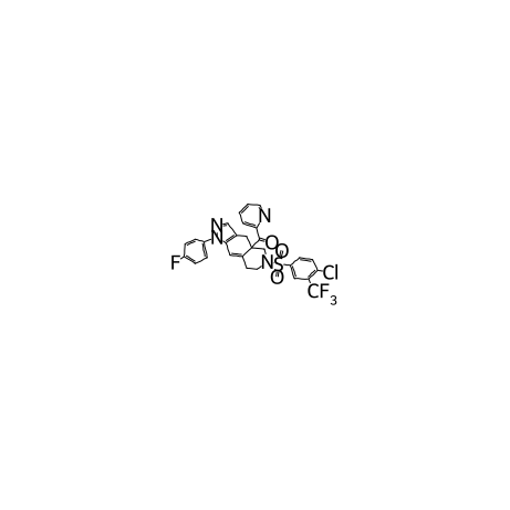 O=C(c1ccccn1)C12Cc3cnn(-c4ccc(F)cc4)c3C=C1CCN(S(=O)(=O)c1ccc(Cl)c(C(F)(F)F)c1)C2